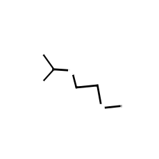 CCSCCOC(C)O